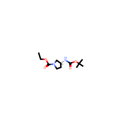 CCOC(=O)N1CC[C@@H](NC(=O)OC(C)(C)C)C1